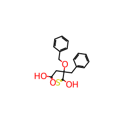 O=C(O)CC(Cc1ccccc1)(OCc1ccccc1)C(O)=S